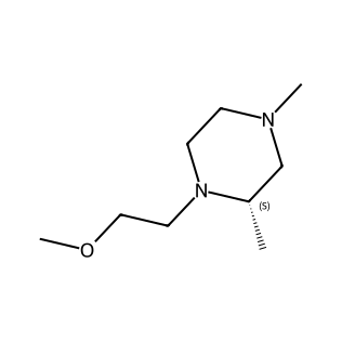 COCCN1CCN(C)C[C@@H]1C